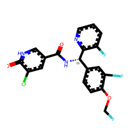 O=C(N[C@@H](c1ccc(OCF)c(F)c1)c1ncccc1F)c1c[nH]c(=O)c(Cl)c1